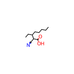 CCCCCC(CC)C(C#N)C(=O)O